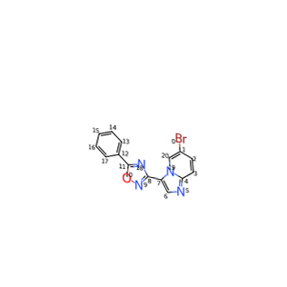 Brc1ccc2ncc(-c3noc(-c4ccccc4)n3)n2c1